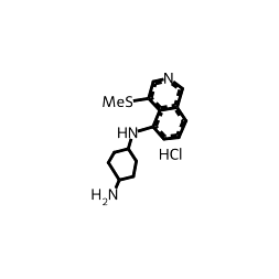 CSc1cncc2cccc(NC3CCC(N)CC3)c12.Cl